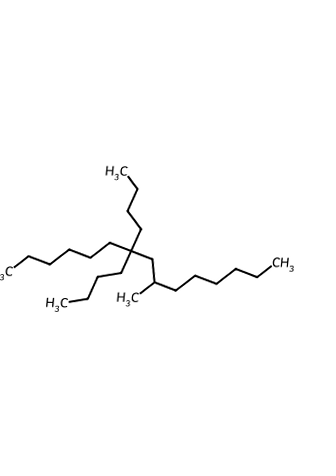 CCCCCCC(C)CC(CCCC)(CCCC)CCCCCC